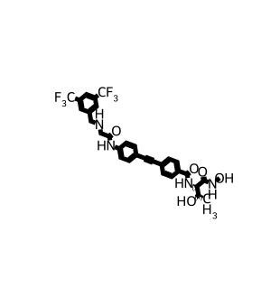 C[C@@H](O)[C@H](NC(=O)c1ccc(C#Cc2ccc(NC(=O)CNCc3cc(C(F)(F)F)cc(C(F)(F)F)c3)cc2)cc1)C(=O)NO